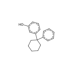 Oc1cccc(C2(c3ccccc3)CCCCC2)c1